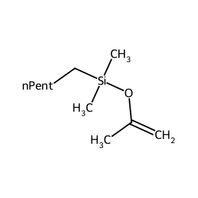 C=C(C)O[Si](C)(C)CCCCCC